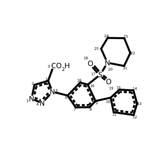 O=C(O)c1cnnn1-c1ccc(-c2ccccc2)c(S(=O)(=O)N2CCCCC2)c1